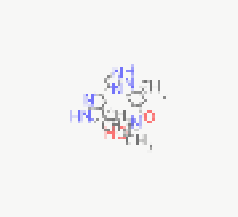 Cc1cc(C(=O)N2CC(C)(O)C2)ccc1Nc1nccc(-c2cnc3c(c2)C(C)(C)CN3)n1